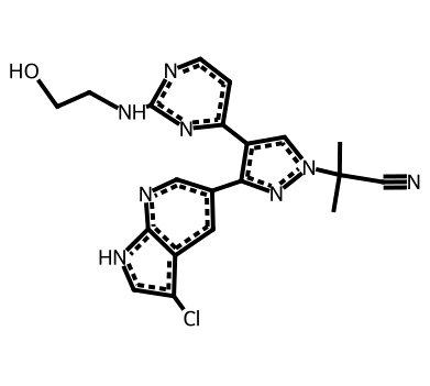 CC(C)(C#N)n1cc(-c2ccnc(NCCO)n2)c(-c2cnc3[nH]cc(Cl)c3c2)n1